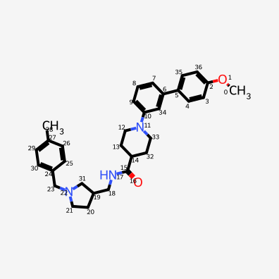 COc1ccc(-c2cccc(N3CCC(C(=O)NCC4CCN(Cc5ccc(C)cc5)C4)CC3)c2)cc1